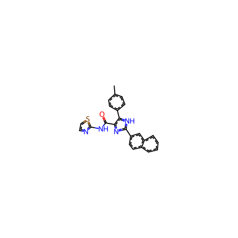 Cc1ccc(-c2[nH]c(-c3ccc4ccccc4c3)nc2C(=O)Nc2nccs2)cc1